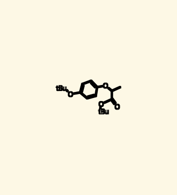 CC(Oc1ccc(OC(C)(C)C)cc1)C(=O)OC(C)(C)C